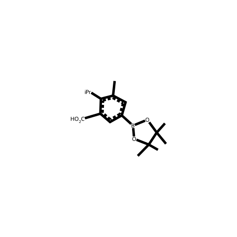 Cc1cc(B2OC(C)(C)C(C)(C)O2)cc(C(=O)O)c1C(C)C